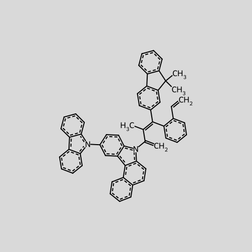 C=Cc1ccccc1/C(=C(/C)C(=C)n1c2ccc(-n3c4ccccc4c4ccccc43)cc2c2c3ccccc3ccc21)c1ccc2c(c1)C(C)(C)c1ccccc1-2